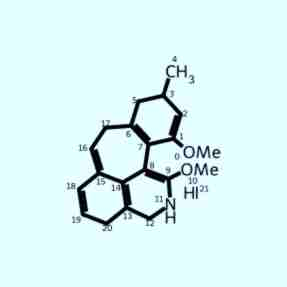 COC1=CC(C)CC2=C1C1=C(OC)NCC3=C1C(=CC2)C=CC3.I